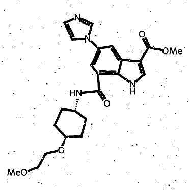 COCCO[C@H]1CC[C@H](NC(=O)c2cc(-n3ccnc3)cc3c(C(=O)OC)c[nH]c23)CC1